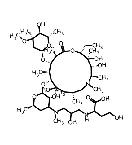 CC[C@H]1OC(=O)[C@H](C)[C@@H](O[C@H]2C[C@@](C)(OC)[C@@H](O)[C@H](C)O2)[C@H](C)[C@@H](O[C@@H]2O[C@H](C)CC(N(C)CC(O)CNC(CCO)C(=O)O)[C@H]2O)[C@](C)(O)C[C@@H](C)CN(C)[C@H](C)[C@@H](O)[C@]1(C)O